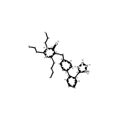 CCCCc1nc(CCC)n(CCC)c(=O)c1Cc1ccc(-c2ccccc2-c2nnn[nH]2)cc1